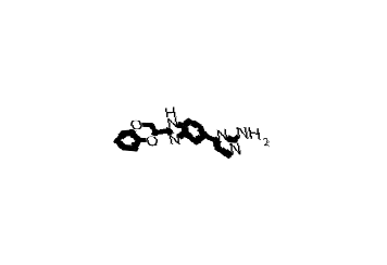 Nc1nccc(-c2ccc3[nH]c(C4COc5ccccc5O4)nc3c2)n1